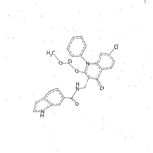 COC(=O)Oc1c(CNC(=O)c2ccc3cc[nH]c3c2)c(=O)c2ccc(Cl)cc2n1-c1ccccc1